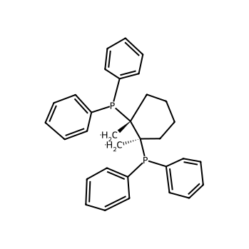 [CH2][C@@]1(P(c2ccccc2)c2ccccc2)CCCC[C@@]1([CH2])P(c1ccccc1)c1ccccc1